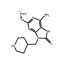 CCC[C@H](C)Oc1nc(N)c2[nH]c(=O)n(CC3CCNCC3)c2n1